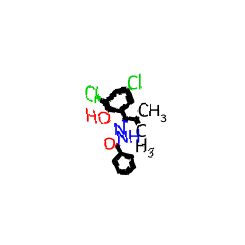 CC(C)/C(=N\NC(=O)c1ccccc1)c1cc(Cl)cc(Cl)c1O